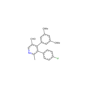 COc1cc(OC)cc(-c2c(C=O)cnc(C)c2-c2ccc(F)cc2)c1